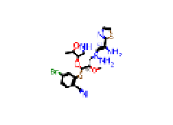 CO[C@@H](CN(N)/C=C(\N)c1nccs1)C(OC1CNOC1C)Sc1cc(Br)ccc1C#N